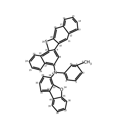 Cc1cccc(N(c2cc3c4cc5ccccc5cc4sc3c3ccccc23)c2cccc3c2oc2ccccc23)c1